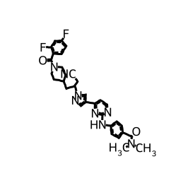 CN(C)C(=O)c1ccc(Nc2nccc(-c3cnn(C(CC#N)CC4CCN(C(=O)c5ccc(F)cc5F)CC4)c3)n2)cc1